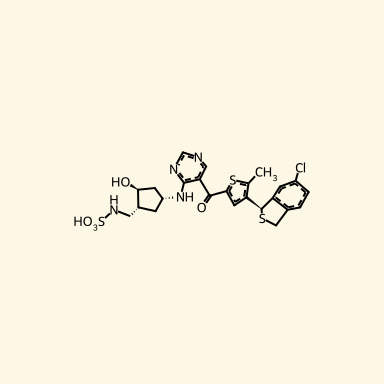 Cc1sc(C(=O)c2cncnc2N[C@@H]2C[C@H](CNS(=O)(=O)O)[C@@H](O)C2)cc1[C@@H]1SCc2ccc(Cl)cc21